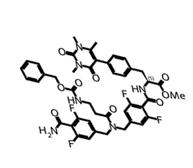 COC(=O)[C@H](Cc1ccc(-c2c(C)n(C)c(=O)n(C)c2=O)cc1)NC(=O)c1c(F)cc(CN(Cc2cc(F)c(C(N)=O)c(F)c2)C(=O)CCNC(=O)OCc2ccccc2)cc1F